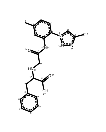 Cc1ccc(-n2cc(Cl)nn2)c(NC(=O)CNC(Cc2ccccc2)C(=O)O)c1